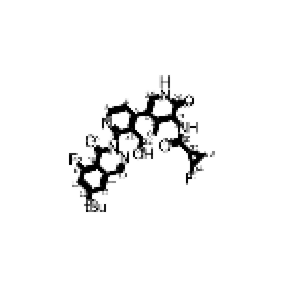 Cc1c(-c2ccnc(-n3ncc4cc(C(C)(C)C)cc(F)c4c3=O)c2CO)c[nH]c(=O)c1NC(=O)C1CC1F